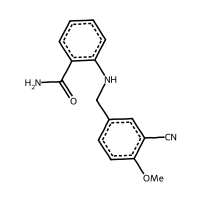 COc1ccc(CNc2ccccc2C(N)=O)cc1C#N